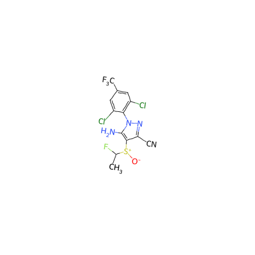 CC(F)[S+]([O-])c1c(C#N)nn(-c2c(Cl)cc(C(F)(F)F)cc2Cl)c1N